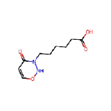 O=C(O)CCCCCN1NOC=CC1=O